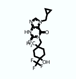 CC1(Cn2c(=O)[nH]c3ncn(CC4CC4)c3c2=O)CCC(O)(C(F)(F)F)CC1